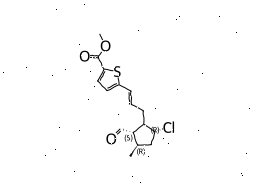 COC(=O)c1ccc(C=CCC2[C@H](Cl)C[C@@H](C)[C@@H]2C=O)s1